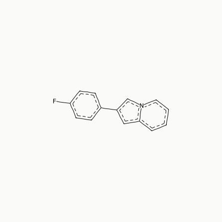 Fc1ccc(-c2cc3ccccn3c2)cc1